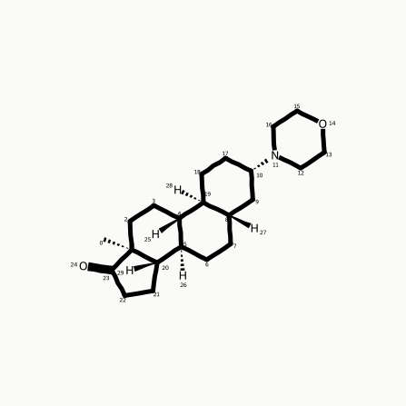 C[C@]12CC[C@H]3[C@@H](CC[C@H]4C[C@@H](N5CCOCC5)CC[C@@H]43)[C@@H]1CCC2=O